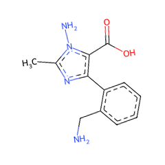 Cc1nc(-c2ccccc2CN)c(C(=O)O)n1N